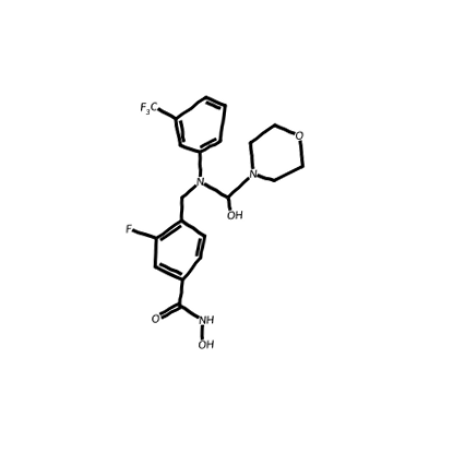 O=C(NO)c1ccc(CN(c2cccc(C(F)(F)F)c2)C(O)N2CCOCC2)c(F)c1